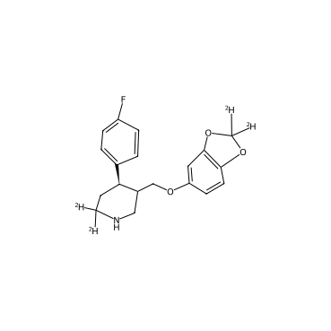 [2H]C1([2H])C[C@@H](c2ccc(F)cc2)C(COc2ccc3c(c2)OC([2H])([2H])O3)CN1